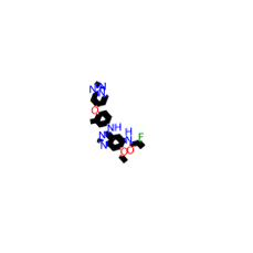 C=C(F)C(=O)Nc1cc2c(Nc3ccc(Oc4ccn5ncnc5c4)c(C)c3)ncnc2cc1OCC